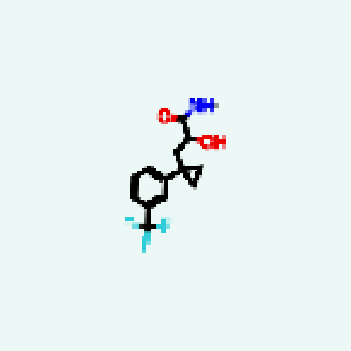 [NH]C(=O)C(O)CC1(c2cccc(C(F)(F)F)c2)CC1